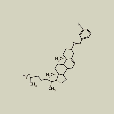 CC(C)CCC[C@@H](C)[C@H]1CCC2C3CC=C4CC(OCc5cccc(I)c5)CC[C@]4(C)C3CC[C@@]21C